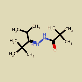 CC(C)/C(=N\NC(=O)C(C)(C)C)C(C)(C)C